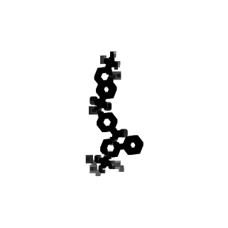 CC(C)(C)N1CCN(C(=O)C2CCC(NS(=O)(=O)c3ccc4c(c3)CCC(C(F)(F)F)N4)CC2)C(c2ccccc2)C1